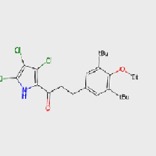 CCOc1c(C(C)(C)C)cc(CCC(=O)c2[nH]c(Cl)c(Cl)c2Cl)cc1C(C)(C)C